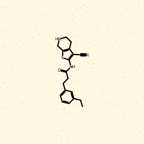 CCc1cccc(CCC(=O)Nc2sc3c(c2C#N)CCNC3)c1